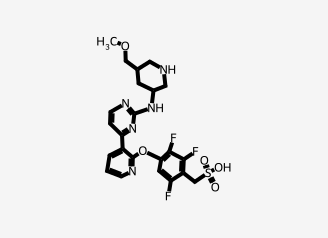 COCC1CNCC(Nc2nccc(-c3cccnc3Oc3cc(F)c(CS(=O)(=O)O)c(F)c3F)n2)C1